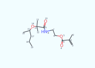 C=C(C)C(=O)OCCNC(=O)C(C)(C)OC(C)CCC